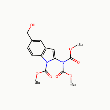 CC(C)(C)OC(=O)N(C(=O)OC(C)(C)C)c1cc2cc(CO)ccc2n1C(=O)OC(C)(C)C